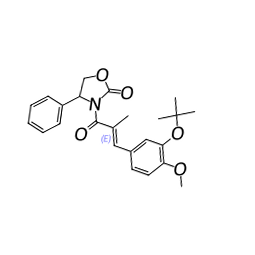 COc1ccc(/C=C(\C)C(=O)N2C(=O)OCC2c2ccccc2)cc1OC(C)(C)C